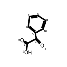 O=C(O)C(=O)c1cc[c]cc1